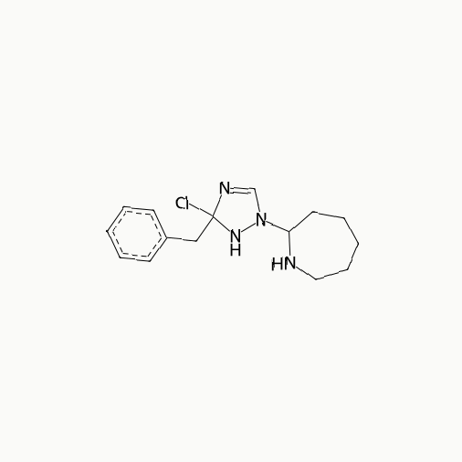 ClC1(Cc2ccccc2)N=CN(C2CCCCCN2)N1